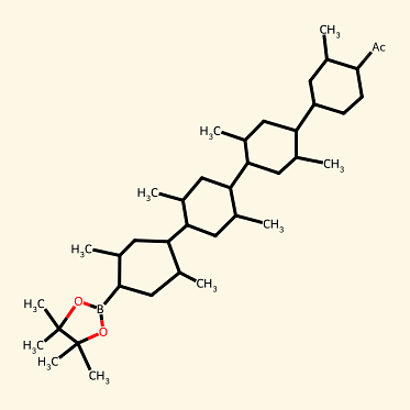 CC(=O)C1CCC(C2CC(C)C(C3CC(C)C(C4CC(C)C(B5OC(C)(C)C(C)(C)O5)CC4C)CC3C)CC2C)CC1C